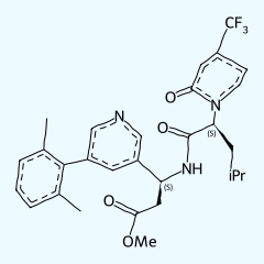 COC(=O)C[C@H](NC(=O)[C@H](CC(C)C)n1ccc(C(F)(F)F)cc1=O)c1cncc(-c2c(C)cccc2C)c1